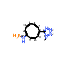 Cn1nnnc1-c1cccccc(NP)ccc1